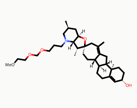 COCCOCOCCCN1C[C@@H](C)C[C@H]2O[C@]3(CC[C@@H]4C(=C(C)C3)C[C@H]3[C@H]4CCC4=C[C@@H](O)CC[C@@]43C)[C@H](C)[C@@H]21